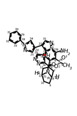 CS(=O)(=O)c1c(C2C[C@H]3CC[C@@H](C2)N3C(=O)c2nnc[nH]2)nc2c(-c3cnn(-c4ccccc4)c3)cnn2c1N